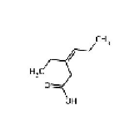 CCC=C(CC)CC(=O)O